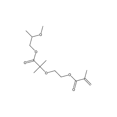 C=C(C)C(=O)OCCOC(C)(C)C(=O)OCC(C)OC